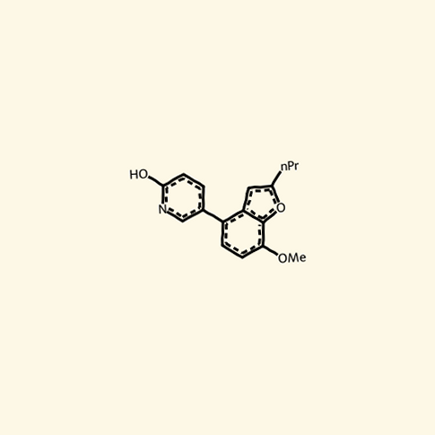 CCCc1cc2c(-c3ccc(O)nc3)ccc(OC)c2o1